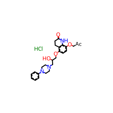 CC(=O)COc1ccc(OCC(O)CN2CCN(c3ccccc3)CC2)c2c1NC(=O)CC2.Cl